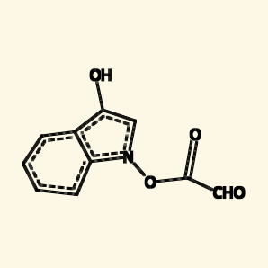 O=CC(=O)On1cc(O)c2ccccc21